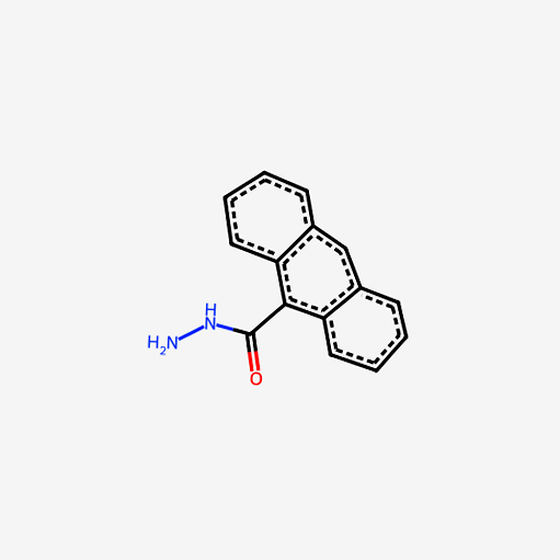 NNC(=O)c1c2ccccc2cc2ccccc12